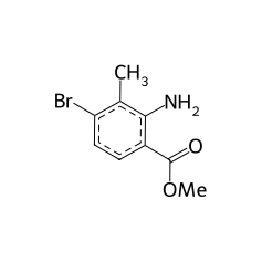 COC(=O)c1ccc(Br)c(C)c1N